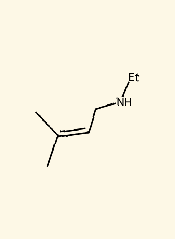 CCNCC=C(C)C